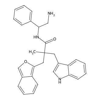 CC(Cc1occ2ccccc12)(Cc1c[nH]c2ccccc12)C(=O)NC(CN)c1ccccc1